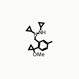 COC1(c2ccc(C)cc2CN(NC2CC2)C2CC2)CC1